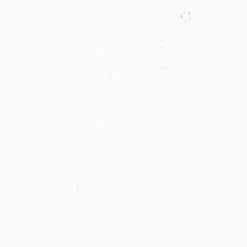 CCC(C)CCC(C)c1ccc(Cl)cc1